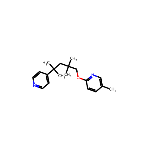 Cc1ccc(OCC(C)(C)CC(C)(C)c2ccncc2)nc1